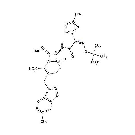 Cc1ccc2n(CC3=C(C(=O)O)N4C(=O)[C@@H](NC(=O)/C(=N\OC(C)(C)C(=O)O)c5csc(N)n5)[C@H]4SC3)cc[n+]2c1.[NaH]